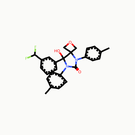 Cc1ccc(N2C(=O)N(c3ccc(C)cc3)C(O)(c3cccc(C(F)F)c3)C23COC3)cc1